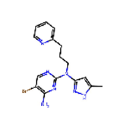 Cc1cc(N(CCCc2ccccn2)c2ncc(Br)c(N)n2)n[nH]1